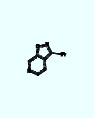 CC(C)c1noc2cnccc12